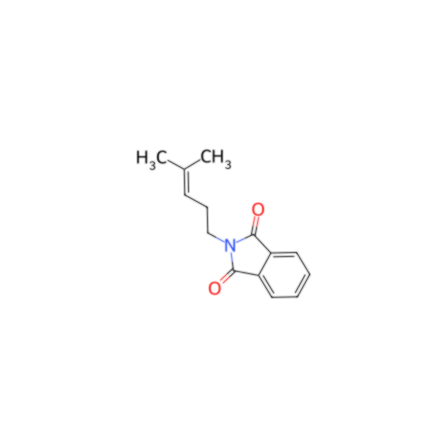 CC(C)=CCCN1C(=O)c2ccccc2C1=O